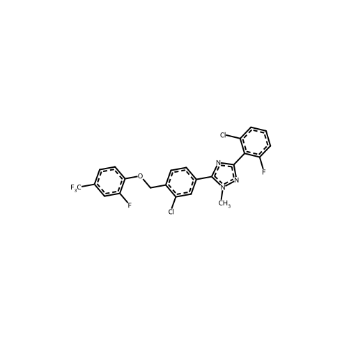 Cn1nc(-c2c(F)cccc2Cl)nc1-c1ccc(COc2ccc(C(F)(F)F)cc2F)c(Cl)c1